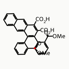 COC(=O)c1ccccc1-c1c(C(=O)O)c(C(=O)O)c2cc3ccccc3cc2c1-c1ccccc1C(=O)OC